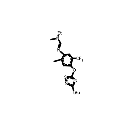 CCN(C)C=Nc1cc(C(F)(F)F)c(Oc2nc(C(C)(C)C)ns2)cc1C